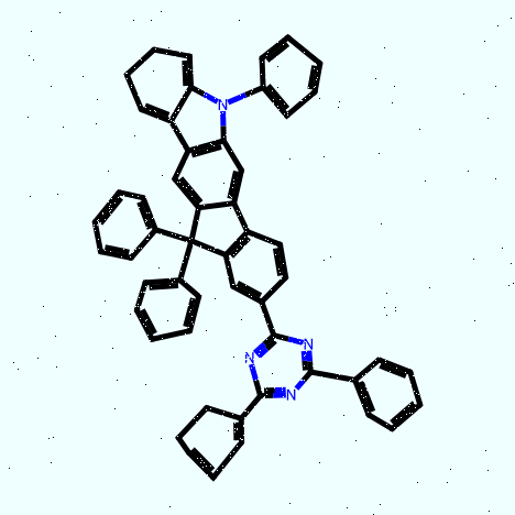 C1=CCCC(c2nc(-c3ccccc3)nc(-c3ccc4c(c3)C(c3ccccc3)(c3ccccc3)c3cc5c6c(n(-c7ccccc7)c5cc3-4)=CCCC=6)n2)=C1